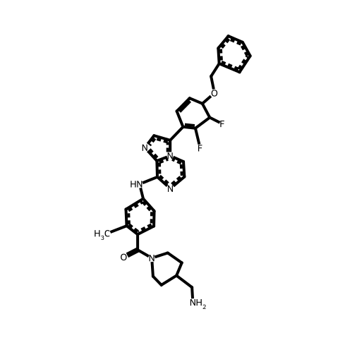 Cc1cc(Nc2nccn3c(C4=C(F)C(F)C(OCc5ccccc5)C=C4)cnc23)ccc1C(=O)N1CCC(CN)CC1